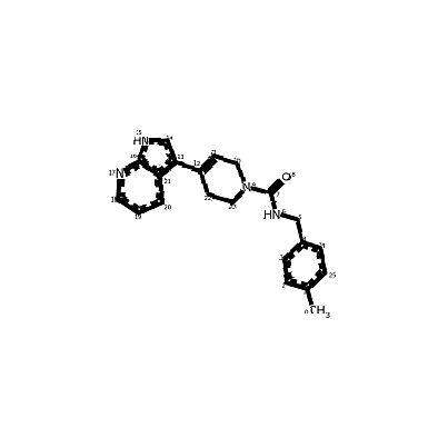 Cc1ccc(CNC(=O)N2CC=C(c3c[nH]c4ncccc34)CC2)cc1